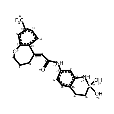 O=C(/C=C1\CCCOc2cc(C(F)(F)F)ccc21)Nc1ccc2c(c1)NS(O)(O)CC2